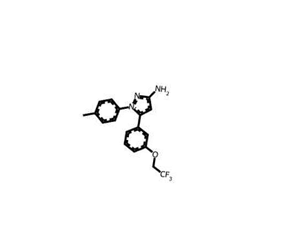 Cc1ccc(-n2nc(N)cc2-c2cccc(OCC(F)(F)F)c2)cc1